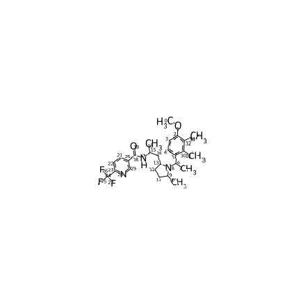 COc1ccc(C(C)N2C(C)CCC2CC(C)NC(=O)c2ccc(C(F)(F)F)nc2)c(C)c1C